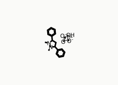 CN1C(c2ccccc2)CC(c2ccccc2)N1C.[O-][Cl+3]([O-])([O-])O